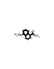 COc1cccc2c1CCCC2C(C)=O